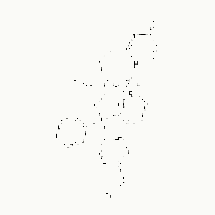 COc1ccc(C(O[C@H]2C(F)(F)[C@H]3O[C@]2(CI)COc2nc(=O)ccn23)(c2ccccc2)c2ccccc2)cc1